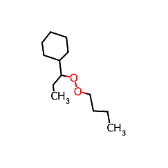 CCCCOOC(CC)C1CCCCC1